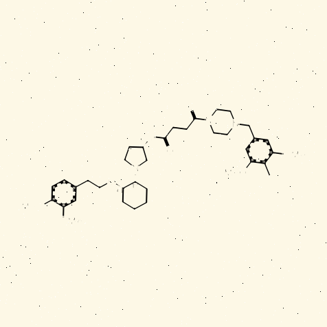 COc1ccc(CCO[C@@H]2CCCC[C@H]2N2CC[C@@H](OC(=O)CCC(=O)N3CCN(Cc4cc(OC)c(C)c(OC)c4)CC3)C2)cc1OC